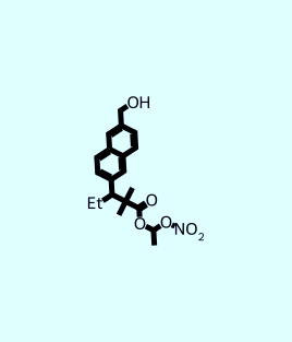 CCC(c1ccc2cc(CO)ccc2c1)C(C)(C)C(=O)OC(C)O[N+](=O)[O-]